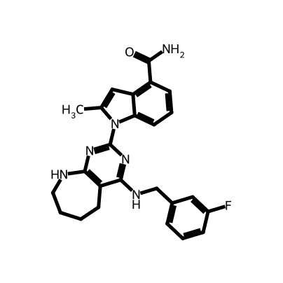 Cc1cc2c(C(N)=O)cccc2n1-c1nc2c(c(NCc3cccc(F)c3)n1)CCCCN2